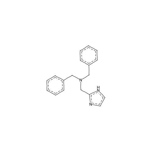 c1ccc(CN(Cc2ccccc2)Cc2ncc[nH]2)cc1